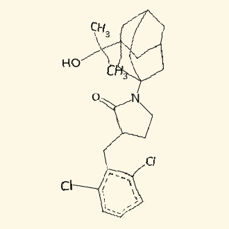 CC(C)(O)C12CC3CC(CC(N4CCC(Cc5c(Cl)cccc5Cl)C4=O)(C3)C1)C2